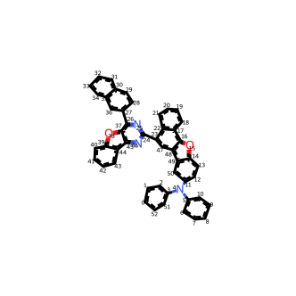 c1ccc(N(c2ccccc2)c2ccc3oc4c5ccccc5c(-c5nc(-c6ccc7ccccc7c6)c6oc7ccccc7c6n5)cc4c3c2)cc1